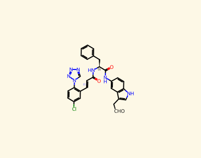 O=CCc1c[nH]c2ccc(NC(=O)[C@H](Cc3ccccc3)NC(=O)/C=C/c3cc(Cl)ccc3-n3cnnn3)cc12